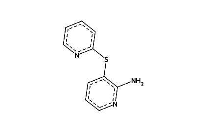 Nc1ncccc1Sc1ccccn1